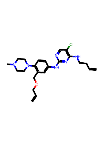 C=CCCNc1nc(Nc2ccc(N3CCN(C)CC3)c(COCC=C)c2)ncc1Cl